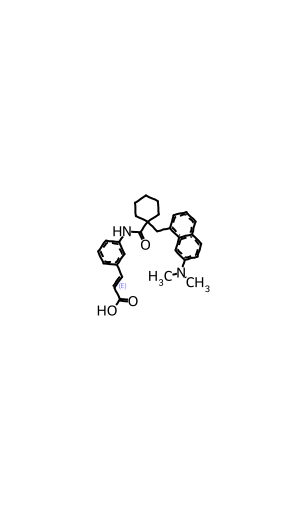 CN(C)c1ccc2cccc(CC3(C(=O)Nc4cccc(/C=C/C(=O)O)c4)CCCCC3)c2c1